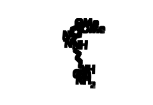 COc1cc2ncnc(NCCCCCNS(N)(=O)=O)c2cc1OC